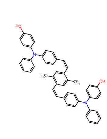 Oc1ccc(N(c2ccccc2)c2ccc(/C=C\c3cc(C(F)(F)F)c(/C=C\c4ccc(N(c5ccccc5)c5ccc(O)cc5)cc4)cc3C(F)(F)F)cc2)cc1